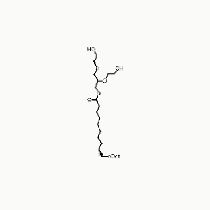 CCCCCCCC/C=C\CCCCCCCC(=O)OCC(COCCO)OCCO